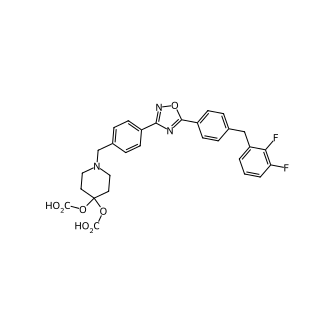 O=C(O)OC1(OC(=O)O)CCN(Cc2ccc(-c3noc(-c4ccc(Cc5cccc(F)c5F)cc4)n3)cc2)CC1